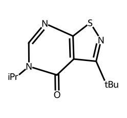 CC(C)n1cnc2snc(C(C)(C)C)c2c1=O